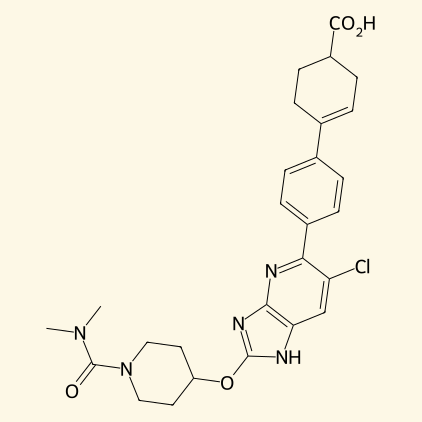 CN(C)C(=O)N1CCC(Oc2nc3nc(-c4ccc(C5=CCC(C(=O)O)CC5)cc4)c(Cl)cc3[nH]2)CC1